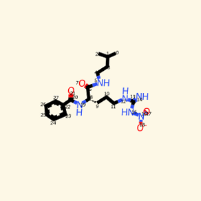 CC(C)C[CH]NC(=O)[C@H](CCCNC(=N)N[N+](=O)[O-])NC(=O)c1ccccc1